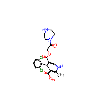 CC1=C(C(=O)O)C(c2c(Cl)cccc2Cl)C(C(=O)OCC(=O)N2CCNCC2)=CN1